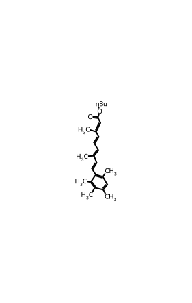 CCCCOC(=O)/C=C(C)/C=C/C=C(C)/C=C/c1c(C)cc(C)c(C)c1C